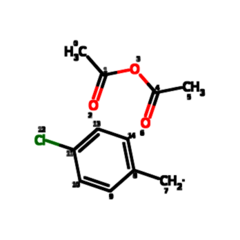 CC(=O)OC(C)=O.[CH2]c1ccc(Cl)cc1